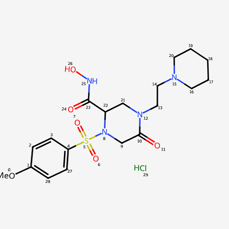 COc1ccc(S(=O)(=O)N2CC(=O)N(CCN3CCCCC3)CC2C(=O)NO)cc1.Cl